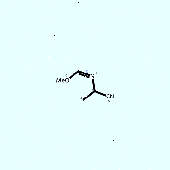 CO/C=N\C(C)C#N